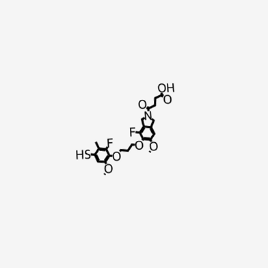 COc1cc(S)c(C)c(F)c1OCCCOc1c(OC)cc2c(c1F)CN(C(=O)CCC(=O)O)C2